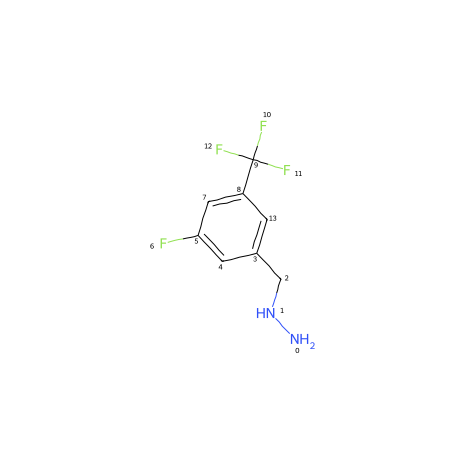 NNCc1cc(F)cc(C(F)(F)F)c1